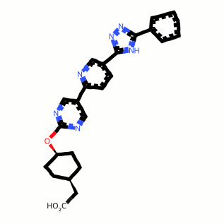 O=C(O)C[C@H]1CC[C@@H](Oc2ncc(-c3ccc(-c4nnc(-c5ccccc5)[nH]4)cn3)cn2)CC1